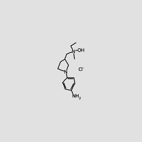 CC[N+](C)(O)CC1CCN(c2ccc(N)cc2)C1.[Cl-]